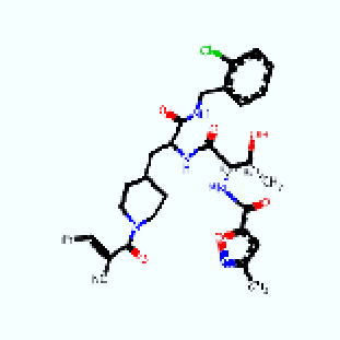 Cc1cc(C(=O)N[C@H](C(=O)NC(CC2CCN(C(=O)C(C#N)=CC(C)C)CC2)C(=O)NCc2ccccc2Cl)[C@@H](C)O)on1